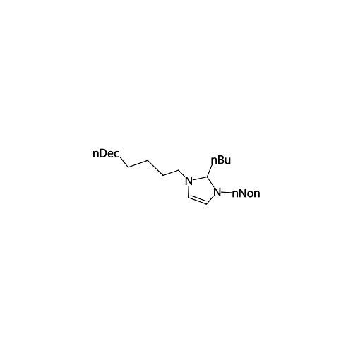 CCCCCCCCCCCCCCN1C=CN(CCCCCCCCC)C1CCCC